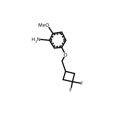 COc1ccc(OCC2CC(F)(F)C2)cc1N